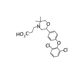 CC1(C)COC(c2ccc(Oc3c(Cl)cccc3Cl)cc2)CN1CCC(=O)O